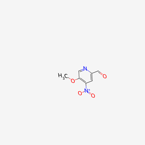 COc1cnc(C=O)cc1[N+](=O)[O-]